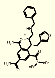 CCCN(CCC)C(=O)c1cc(C(N)=O)cc(C(N)=O)c1[C@H](Cc1ccoc1)[C@@H](O)CNCc1ccccc1